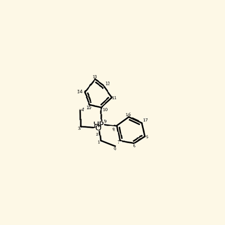 CCOCC.c1ccc(Pc2ccccc2)cc1